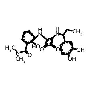 CCC(Nc1c(Nc2cccc(C(=O)N(C)C)c2O)c(=O)c1=O)c1ccc(O)c(O)c1